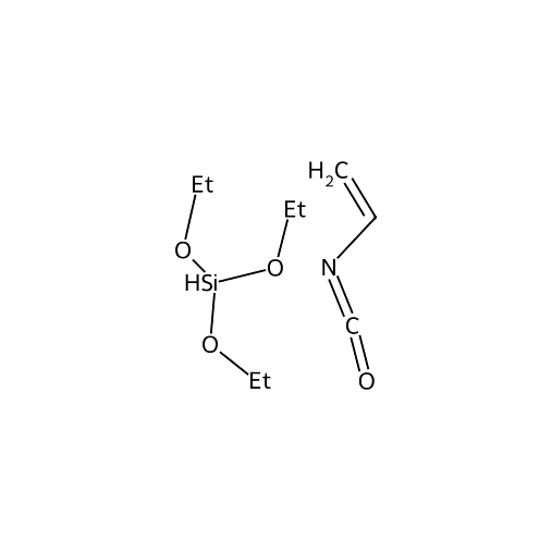 C=CN=C=O.CCO[SiH](OCC)OCC